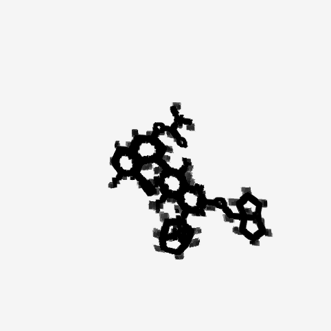 C#Cc1c(F)ccc2cc(OC(=O)N(C)C)cc(-c3nc(F)c4c(N5CC6CCC(C5)N6)nc(OCC56CCCN5CCC6)nc4c3F)c12